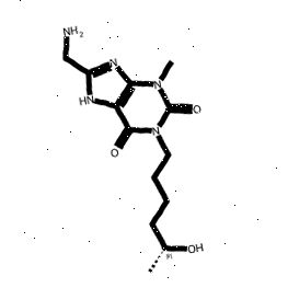 C[C@@H](O)CCCCn1c(=O)c2[nH]c(CN)nc2n(C)c1=O